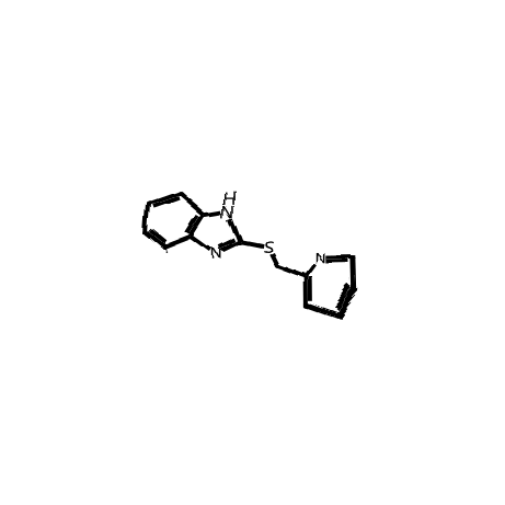 [c]1cccc2[nH]c(SCc3ccccn3)nc12